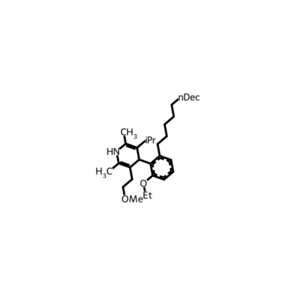 CCCCCCCCCCCCCCCc1cccc(OCC)c1C1C(CCOC)=C(C)NC(C)=C1C(C)C